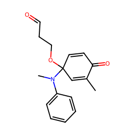 CC1=CC(OCCC=O)(N(C)c2ccccc2)C=CC1=O